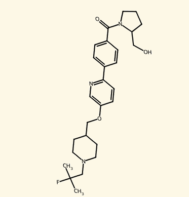 CC(C)(F)CN1CCC(COc2ccc(-c3ccc(C(=O)N4CCCC4CO)cc3)nc2)CC1